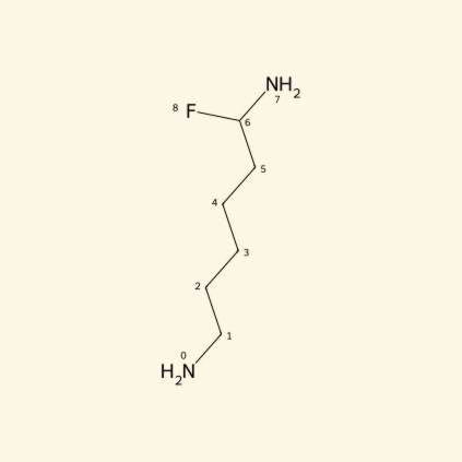 NCCCCCC(N)F